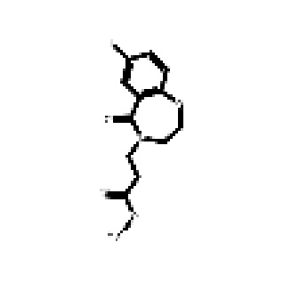 COC(=O)CCN1CCOc2ccc(I)cc2C1=O